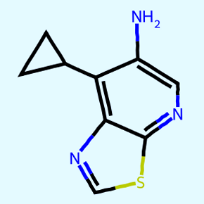 Nc1cnc2scnc2c1C1CC1